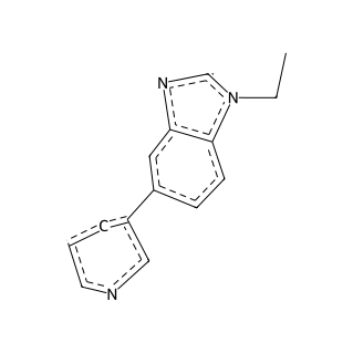 CCn1[c]nc2cc(-c3cccnc3)ccc21